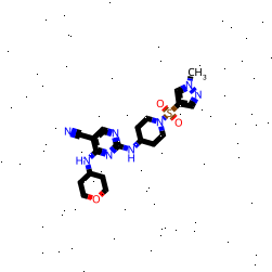 Cn1cc(S(=O)(=O)N2CCC(Nc3ncc(C#N)c(NC4CCOCC4)n3)CC2)cn1